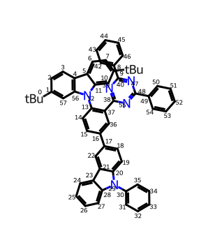 CC(C)(C)c1ccc2c3ccc(C(C)(C)C)cc3n(-c3ccc(-c4ccc5c(c4)c4ccccc4n5-c4ccccc4)cc3-c3nc(-c4ccccc4)nc(-c4ccccc4)n3)c2c1